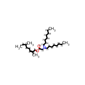 C=CC(C)CCC=C(C)COC(=O)CN(CCCCCCCC)CCCCCCCC